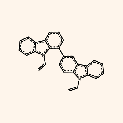 C=Cn1c2ccccc2c2cc(-c3cccc4c5ccccc5n(C=C)c34)ccc21